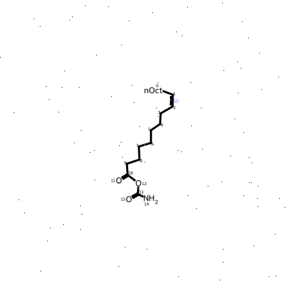 CCCCCCCC/C=C\CCCCCCCC(=O)OC(N)=O